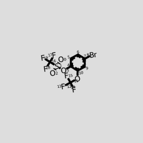 O=S(=O)(Oc1ccc(Br)cc1OC(F)(F)F)C(F)(F)F